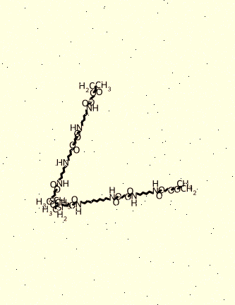 C=C(C)OCOCCOC(=O)NCCCCCCNC(=O)OCCOC(=O)NCCCCCCCCCCNC(=O)OCCC[SiH2]C(C)(C)O[Si](C)(C)CCCOC(=O)NCCCCCCNCCCCC(=O)OCCOOCNCCCCCCNC(=O)OCCOC(=O)C(=C)C